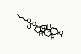 CCCCOC(=O)O[C@H]1CC[C@H]2[C@@H]3CC[C@H]4C[C@H](OC)C=C[C@]4(C)[C@H]3CC[C@]12C